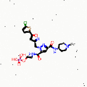 CC(C)N1CCC(NC(=O)c2cc(C(=O)NCCOP(=O)(O)O)n(Cc3cc(-c4ccc(Cl)s4)on3)n2)CC1